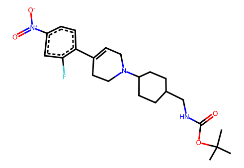 CC(C)(C)OC(=O)NCC1CCC(N2CC=C(c3ccc([N+](=O)[O-])cc3F)CC2)CC1